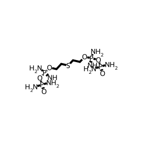 N=P(N)(OCCSCCOP(=N)(N)OP(N)(N)=O)OP(N)(N)=O